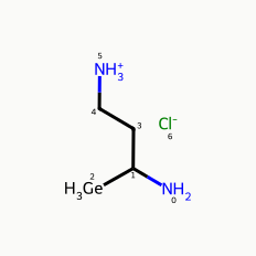 N[CH]([GeH3])CC[NH3+].[Cl-]